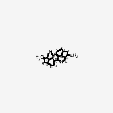 C=C1Cc2ccc3c4ncc5c6c(ccc(c7ncc1c2c37)c64)CC5=C